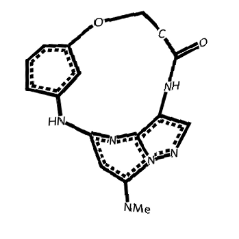 CNc1cc2nc3c(cnn13)NC(=O)CCOc1cccc(c1)N2